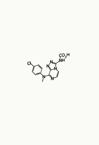 CN(c1ccc(Cl)cc1)c1nccn2c(NC(=O)O)nnc12